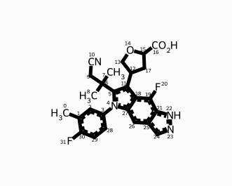 Cc1cc(-n2c(C(C)(C)CC#N)c(C3COC(C(=O)O)C3)c3c(F)c4[nH]ncc4cc32)ccc1F